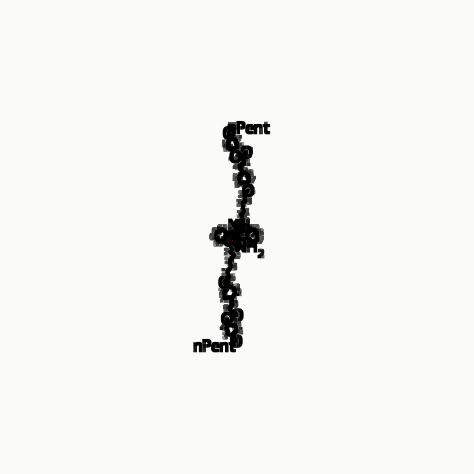 CCCCCOc1ccc(OC(=O)C=Cc2ccc(OCCCCCCOC(=O)C(C(=O)OCCCCCCOc3ccc(C=CC(=O)Oc4ccc(OCCCCC)cc4)cc3)(C(N)c3ccccc3)C(N)c3ccccc3)cc2)cc1